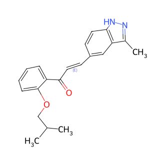 Cc1n[nH]c2ccc(/C=C/C(=O)c3ccccc3OCC(C)C)cc12